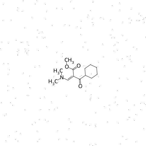 COC(=O)/C(=C\N(C)C)C(=O)C1CCCCC1